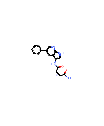 NC(=O)/C=C\C(=O)Nc1c[nH]c2ncc(-c3ccccc3)cc12